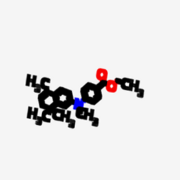 CCOC(=O)c1ccc(N(C)c2ccc3c(c2)C(C)(C)CC=C3C)cc1